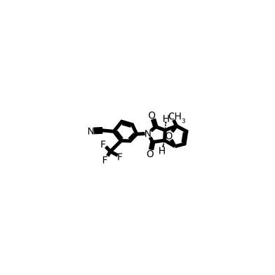 CC12C=CC(O1)[C@H]1C(=O)N(c3ccc(C#N)c(C(F)(F)F)c3)C(=O)[C@H]12